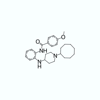 COc1ccc(C(=O)Nc2ccccc2NC2CCN(C3CCCCCCC3)CC2)cc1